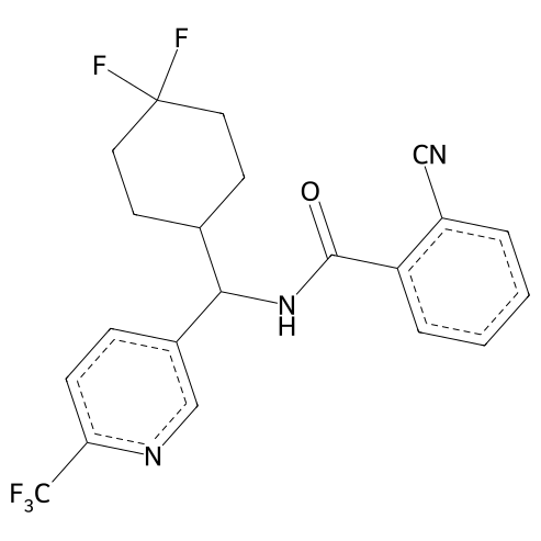 N#Cc1ccccc1C(=O)NC(c1ccc(C(F)(F)F)nc1)C1CCC(F)(F)CC1